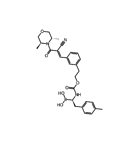 Cc1ccc(C[C@H](NC(=O)OCCc2cccc(/C=C(\C#N)C(=O)N3[C@@H](C)COC[C@@H]3C)c2)B(O)O)cc1